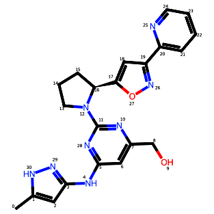 Cc1cc(Nc2cc(CO)nc(N3CCC[C@H]3c3cc(-c4ccccn4)no3)n2)n[nH]1